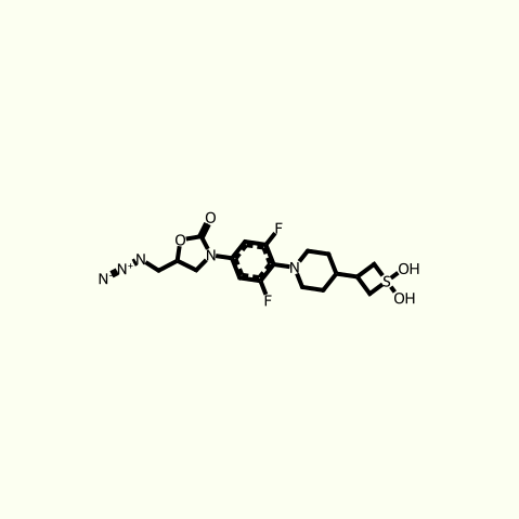 [N-]=[N+]=NCC1CN(c2cc(F)c(N3CCC(C4CS(O)(O)C4)CC3)c(F)c2)C(=O)O1